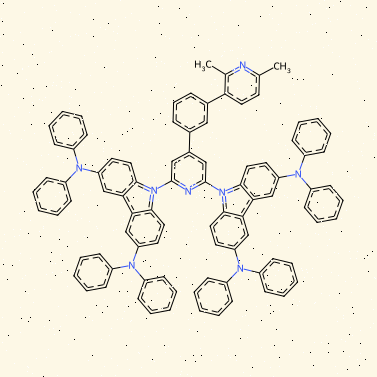 Cc1ccc(-c2cccc(-c3cc(-n4c5ccc(N(c6ccccc6)c6ccccc6)cc5c5cc(N(c6ccccc6)c6ccccc6)ccc54)nc(-n4c5ccc(N(c6ccccc6)c6ccccc6)cc5c5cc(N(c6ccccc6)c6ccccc6)ccc54)c3)c2)c(C)n1